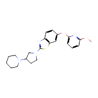 COc1cccc(Oc2ccc3nc(N4CCC(N5CCCCC5)C4)sc3c2)n1